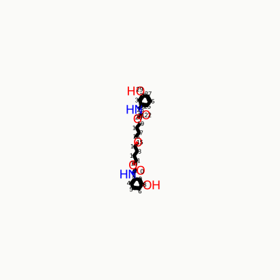 O=C(Nc1cccc(O)c1)OCCCCOCCCCOC(=O)Nc1cccc(O)c1